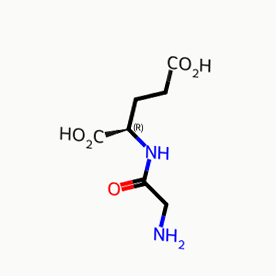 NCC(=O)N[C@H](CCC(=O)O)C(=O)O